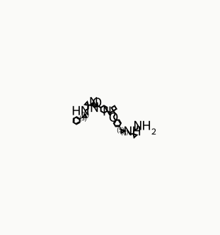 NCCC1(CN[C@@H]2C[C@H]2c2ccc(OCC3(CN4CCC(c5nc(C6(CN[C@@H]7C[C@H]7c7ccccc7)CC6)no5)CC4)CCC3)cc2)CC1